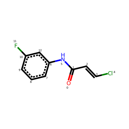 O=C(C=CCl)Nc1cccc(F)c1